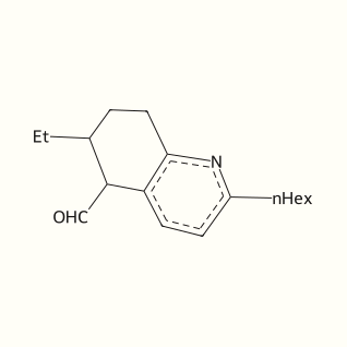 CCCCCCc1ccc2c(n1)CCC(CC)C2C=O